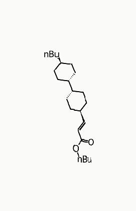 CCCCOC(=O)C=C[C@H]1CC[C@H]([C@H]2CC[C@H](CCCC)CC2)CC1